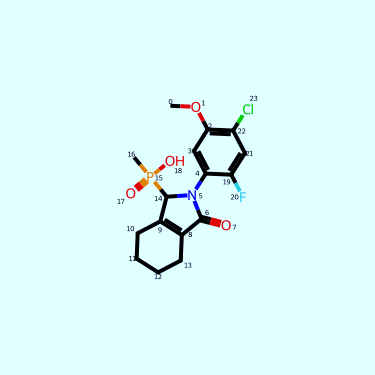 COc1cc(N2C(=O)C3=C(CCCC3)C2P(C)(=O)O)c(F)cc1Cl